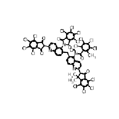 Cc1c(Cl)c(Cl)c(Cl)c(Cl)c1C(=O)N(C=O)c1c(Cc2ccc3nc(C4C(=O)c5c(Cl)c(Cl)c(Cl)c(Cl)c5C4=O)ccc3c2N2C(=O)c3c(Cl)c(Cl)c(Cl)c(Cl)c3C2=O)ccc2nc(C3C(=O)c4c(Cl)c(Cl)c(Cl)c(Cl)c4C3(C)C)ccc12